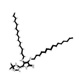 CCCCCCCCCCCCCCCOC1=C(OCCCCCCCCCCCCCCC)[C@@H]([C@@H]2COC(C)(C)O2)OC1=O